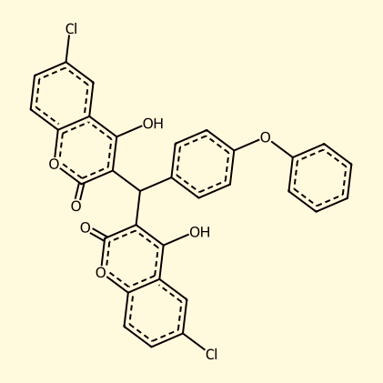 O=c1oc2ccc(Cl)cc2c(O)c1C(c1ccc(Oc2ccccc2)cc1)c1c(O)c2cc(Cl)ccc2oc1=O